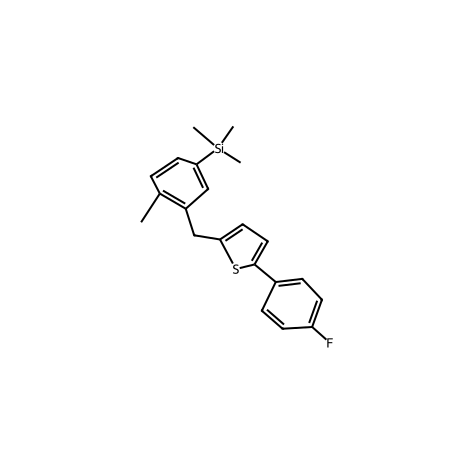 Cc1ccc([Si](C)(C)C)cc1Cc1ccc(-c2ccc(F)cc2)s1